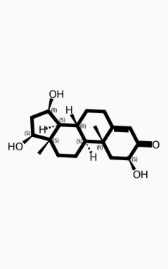 C[C@]12CC[C@H]3[C@@H](CCC4=CC(=O)[C@@H](O)C[C@@]43C)[C@@H]1[C@H](O)C[C@@H]2O